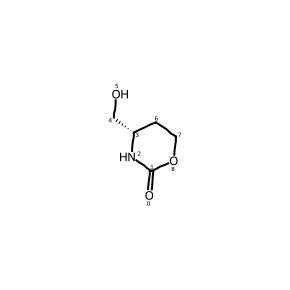 O=C1N[C@H](CO)CCO1